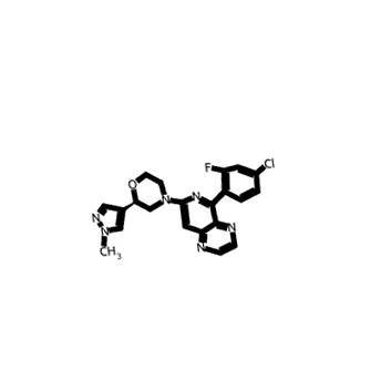 Cn1cc([C@@H]2CN(c3cc4nccnc4c(-c4ccc(Cl)cc4F)n3)CCO2)cn1